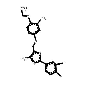 Cc1cc(SCc2sc(-c3ccc(F)c(F)c3)nc2C)ccc1OCC(=O)O